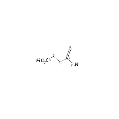 C=C(C#N)CCC(=O)O